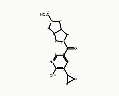 O=C(O)N1CC2CN(C(=O)c3cnc(Cl)c(C4CC4)c3)CC2C1